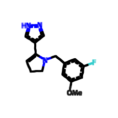 COc1cc(F)cc(CN2CCC=C2c2cn[nH]c2)c1